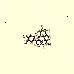 C[C@H](Nc1ncc(F)c(N2C(=O)OCC2[C@@H](C)O)n1)c1ncc(-c2ccc(Cl)c(Cl)c2)cn1